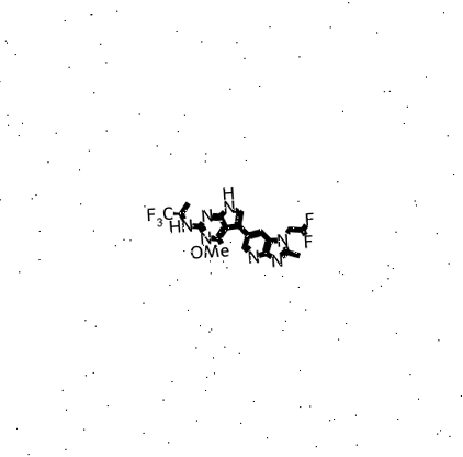 COc1nc(N[C@H](C)C(F)(F)F)nc2[nH]cc(-c3cnc4nc(C)n(CC(F)F)c4c3)c12